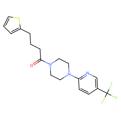 O=C(CCCc1cccs1)N1CCN(c2ccc(C(F)(F)F)cn2)CC1